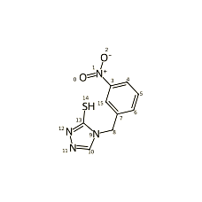 O=[N+]([O-])c1cccc(Cn2cnnc2S)c1